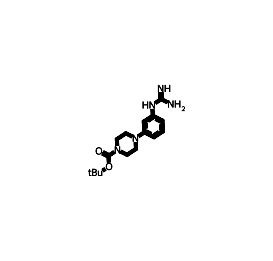 CC(C)(C)OC(=O)N1CCN(c2cccc(NC(=N)N)c2)CC1